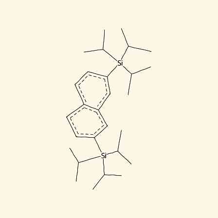 CC(C)[Si](c1ccc2ccc([Si](C(C)C)(C(C)C)C(C)C)cc2c1)(C(C)C)C(C)C